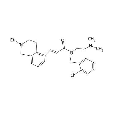 CCN1CCc2c(C=CC(=O)N(CCN(C)C)Cc3ccccc3Cl)cccc2C1